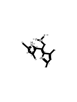 CC1=CC(C)=NC1=C(CB(F)F)c1[nH]c(C)cc1C